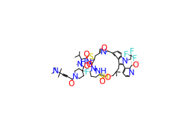 CO[C@@H](C)c1ncccc1-c1c2c3cc(ccc3n1CC(F)(F)F)-c1nc(co1)C[C@@](NC(=O)C(C(C)C)N(C)C(=O)C1(F)CCN(C(=O)C#CC(C)(C)N(C)C)CC1)(SC)C(=O)N1CCC[C@@](S)(N1)C(=O)OCC(C)(C)C2